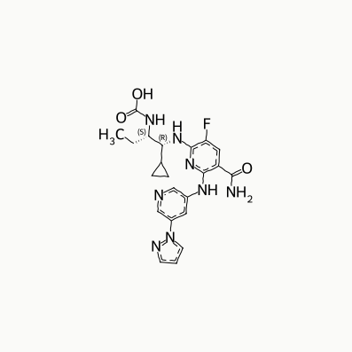 CC[C@H](NC(=O)O)[C@H](Nc1nc(Nc2cncc(-n3cccn3)c2)c(C(N)=O)cc1F)C1CC1